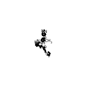 Cc1cc(Nc2ncnn3ccc(C4CN(C(=O)/C=C/CN5CCC(F)C5)C4)c23)ccc1Oc1ccn2ncnc2c1